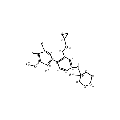 CCOc1c(C)c(C)cc(-c2ccc(NC3(C(C)=O)CCOCC3)cc2COC2CC2)c1F